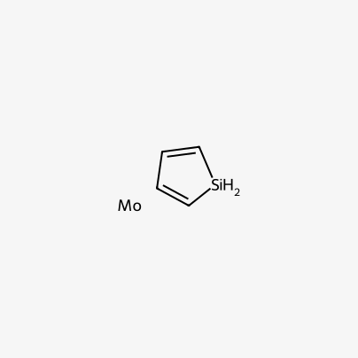 C1=C[SiH2]C=C1.[Mo]